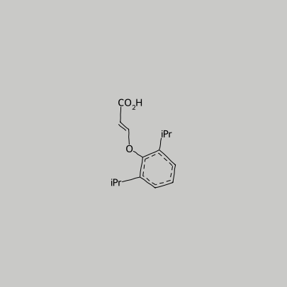 CC(C)c1cccc(C(C)C)c1OC=CC(=O)O